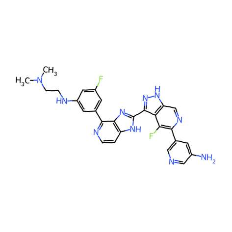 CN(C)CCNc1cc(F)cc(-c2nccc3[nH]c(-c4n[nH]c5cnc(-c6cncc(N)c6)c(F)c45)nc23)c1